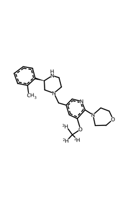 [2H]C([2H])([2H])Oc1cc(CN2CCN[C@H](c3ccccc3C)C2)cnc1N1CCOCC1